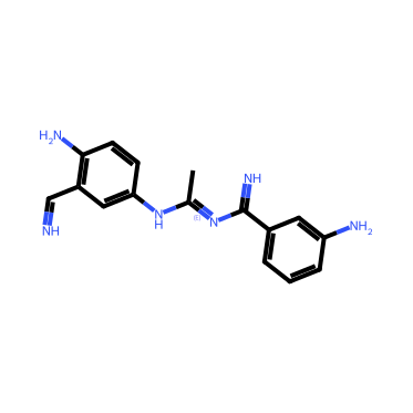 C/C(=N\C(=N)c1cccc(N)c1)Nc1ccc(N)c(C=N)c1